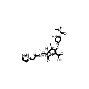 C[C@@H](NC(=O)Cn1ccnn1)[C@H]1C(=O)N2C(C(=O)O)=C(S[C@@H]3CN[C@H](C(=O)N(C)C)C3)[C@H](C)[C@H]12